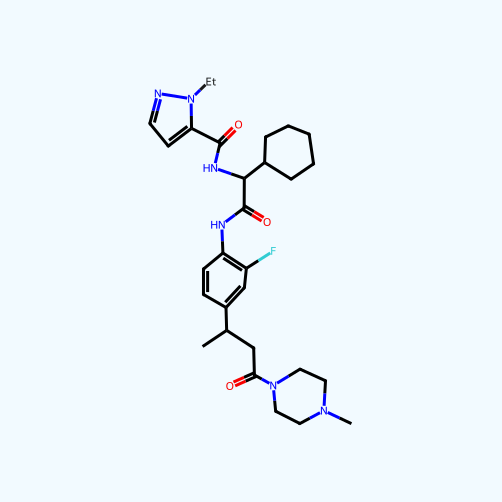 CCn1nccc1C(=O)NC(C(=O)Nc1ccc(C(C)CC(=O)N2CCN(C)CC2)cc1F)C1CCCCC1